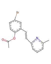 CC(=O)Oc1ccc(Br)cc1C=Cc1cccc(C)n1